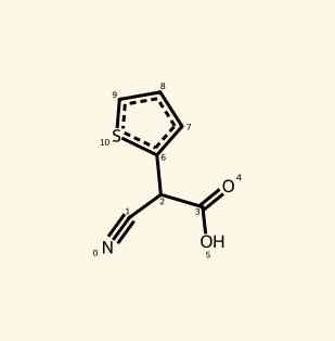 N#CC(C(=O)O)c1cccs1